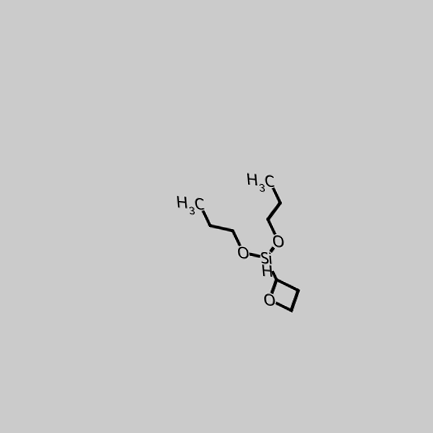 CCCO[SiH](OCCC)C1CCO1